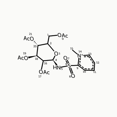 CC(=O)OCC1O[C@@H](NS(=O)(=O)c2cccc[n+]2C)C(OC(C)=O)[C@@H](OC(C)=O)[C@@H]1OC(C)=O